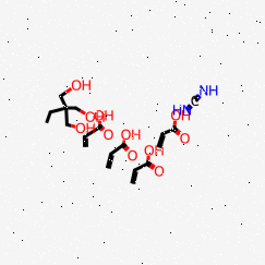 C=CC(=O)O.C=CC(=O)O.C=CC(=O)O.C=CC(=O)O.CCC(CO)(CO)CO.N=C=N